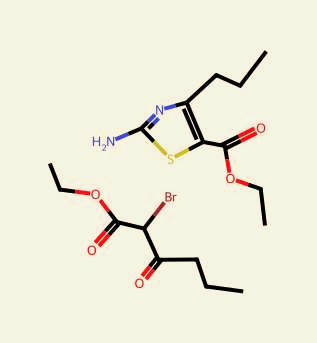 CCCC(=O)C(Br)C(=O)OCC.CCCc1nc(N)sc1C(=O)OCC